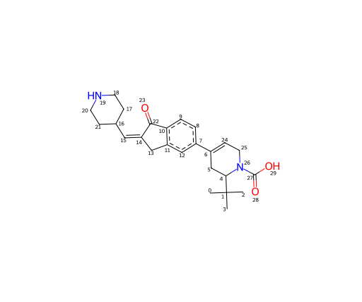 CC(C)(C)C1CC(c2ccc3c(c2)CC(=CC2CCNCC2)C3=O)=CCN1C(=O)O